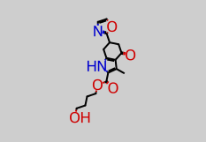 Cc1c(C(=O)OCCCCO)[nH]c2c1C(=O)CC(c1ncco1)C2